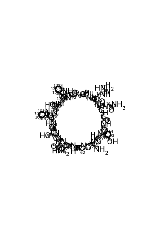 CCCC[C@H]1C(=O)N(C)[C@@H](CCCC)C(=O)N[C@@H](CCCNC(=N)N)C(=O)N[C@H](C(=O)NCC(N)=O)CSCC(=O)N[C@@H](Cc2ccc(O)cc2)C(=O)N(C)[C@@H](C)C(=O)N[C@@H](CCN)C(=O)N2CCC[C@H]2C(=O)N[C@@H](Cc2c[nH]cn2)C(=O)N[C@@H](CCC(N)=O)C(=O)N2C[C@H](O)C[C@H]2C(=O)N[C@@H](Cc2c[nH]c3ccccc23)C(=O)N[C@@H](CO)C(=O)N[C@@H](Cc2c[nH]c3ccccc23)C(=O)N1C